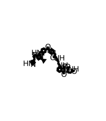 O=C(CN1CCN(C(=O)c2ccc(Nc3nc(C4CC4)cn4c(-c5cn[nH]c5)cnc34)c(F)c2)CC1)NCCCNc1cccc2c1C(=O)N(C1CCC(=O)NC1=O)C2=O